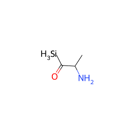 CC(N)C(=O)[SiH3]